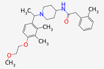 COCCOc1ccc(C(C)N2CCC(NC(=O)Cc3ccccc3C)CC2)c(C)c1C